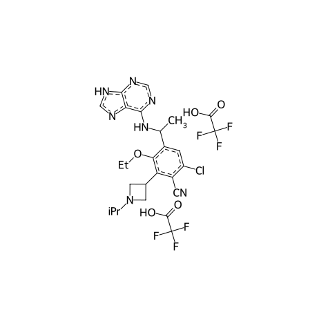 CCOc1c(C(C)Nc2ncnc3[nH]cnc23)cc(Cl)c(C#N)c1C1CN(C(C)C)C1.O=C(O)C(F)(F)F.O=C(O)C(F)(F)F